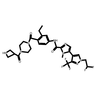 CCc1cc(NC(=O)c2ncc(-c3cn(CC(F)F)nc3C(F)(F)F)n2C)ccc1C(=O)N1CCN(C(=O)C2CNC2)CC1